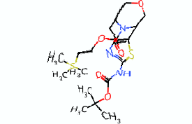 CC(C)(C)OC(=O)Nc1nc2c(s1)C1COCC(C2)N1C(=O)OCCS(C)(C)C